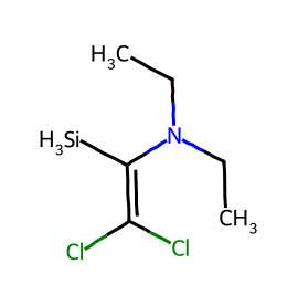 CCN(CC)C([SiH3])=C(Cl)Cl